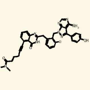 CN(C)C(=O)CCCC#Cc1cccc2nc(Cc3cccc(Cl)c3Cn3nc(-c4ccc(O)cc4)c4c(N)ncnc43)[nH]c(=O)c12